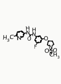 Cc1ccc(NC(=O)Nc2cc(F)cc(OC3CCN(S(C)(=O)=O)C3)c2)cn1